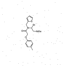 CCC(CNC)N(Cc1cccs1)C(=O)COc1ccc(C)cc1